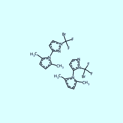 Cc1ccc(C)n1-c1ccn(C(F)(F)Br)n1.Cc1ccc(C)n1-c1ccnn1C(F)(F)Br